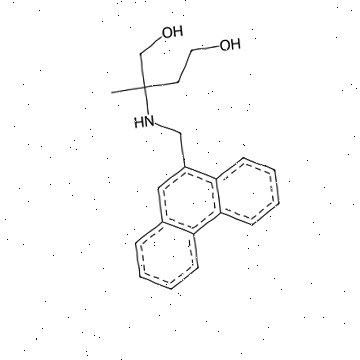 CC(CO)(CCO)NCc1cc2ccccc2c2ccccc12